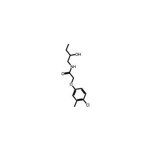 CCC(O)CNC(=O)COc1ccc(Cl)c(C)c1